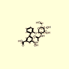 CC(=O)N[C@H]1[C@H](Oc2ccccc2-c2cc(NO)cc(C(=O)O)c2)O[C@H](CO)[C@H](O)[C@@H]1O